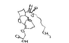 CCCCCCS(=O)(=O)NC1CCC2Oc3c(OCC(=O)O)cccc3C12